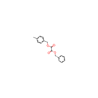 Cc1ccc(COC(=O)C(=O)OCc2ccccc2)cc1